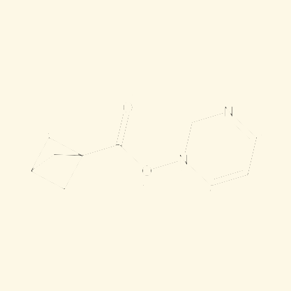 O=C(ON1C=CC=NC1)C12CC(C1)C2